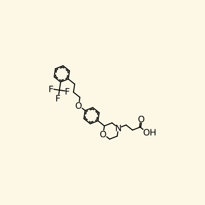 O=C(O)CCN1CCOC(c2ccc(OCCCc3ccccc3C(F)(F)F)cc2)C1